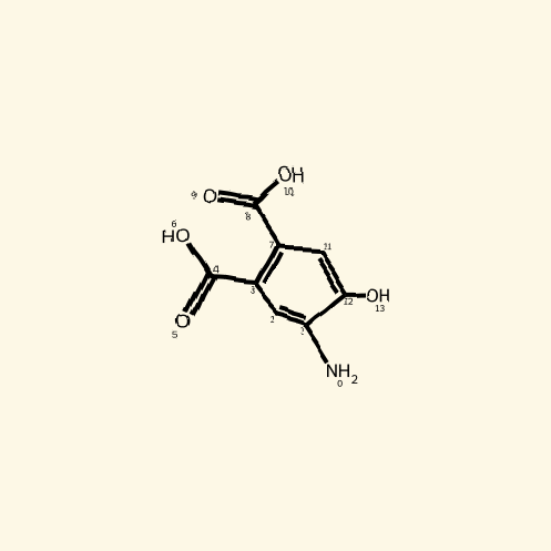 Nc1cc(C(=O)O)c(C(=O)O)cc1O